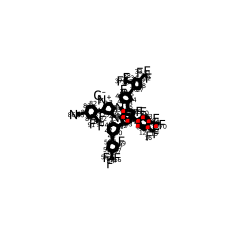 [C-]#[N+]c1cc(-n2c3ccc(-c4ccc(C(F)(F)F)cc4F)cc3c3cc(-c4ccc(C(F)(F)F)cc4C(F)(F)F)ccc32)c(-n2c3ccc(-c4ccc(C(F)(F)F)cc4F)cc3c3cc(-c4ccc(C(F)(F)F)cc4F)ccc32)cc1-c1ccc(C#N)cc1C(F)(F)F